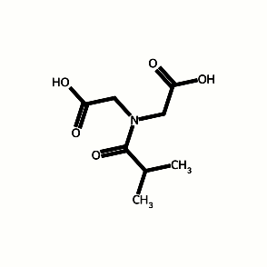 CC(C)C(=O)N(CC(=O)O)CC(=O)O